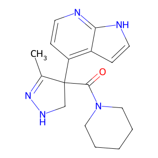 CC1=NNCC1(C(=O)N1CCCCC1)c1ccnc2[nH]ccc12